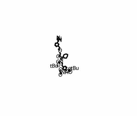 Cn1cc(-c2cccc(CCOCCC(=O)N(CCN(CCc3ccc(OC(=O)OC(C)(C)C)c4c3OCC(=O)N4)C(=O)OC(C)(C)C)C3CCCCCC3)c2)nn1